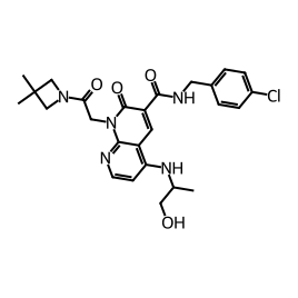 CC(CO)Nc1ccnc2c1cc(C(=O)NCc1ccc(Cl)cc1)c(=O)n2CC(=O)N1CC(C)(C)C1